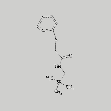 C[Si](C)(C)CNC(=O)CSc1ccccc1